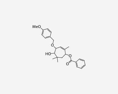 COc1ccc(COC2C=C(C)C(OC(=O)c3ccccc3)CC(C)(C)C2O)cc1